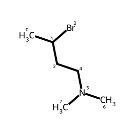 CC(Br)CCN(C)C